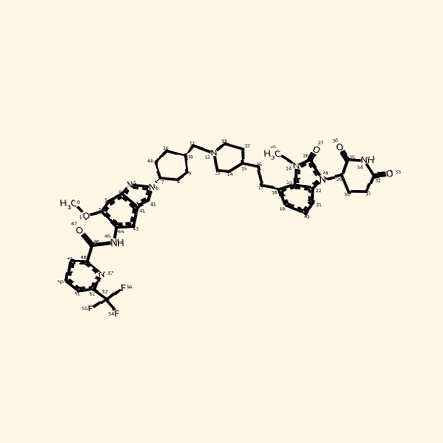 COc1cc2nn([C@H]3CC[C@H](CN4CCC(CCc5cccc6c5n(C)c(=O)n6C5CCC(=O)NC5=O)CC4)CC3)cc2cc1NC(=O)c1cccc(C(F)(F)F)n1